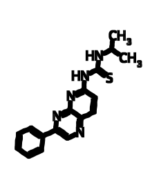 CC(C)NC(=S)Nc1ccc2ncc(-c3ccccc3)nc2n1